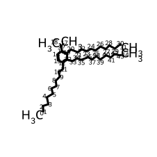 CCCCCCCCCCCCc1ccc(C(C)C)c(CCCCCCCCCCCC)c1CCCCCCCCCCCC